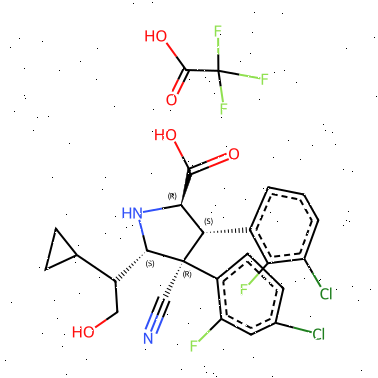 N#C[C@]1(c2ccc(Cl)cc2F)[C@H](C(CO)C2CC2)N[C@@H](C(=O)O)[C@@H]1c1cccc(Cl)c1F.O=C(O)C(F)(F)F